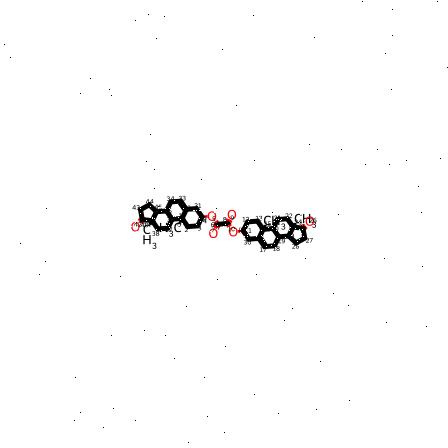 C[C@]12CC[C@H](OC(=O)C(=O)O[C@H]3CC[C@@]4(C)C(=CCC5C4CC[C@]4(C)C(=O)CCC54)C3)CC1=CCC1C2CC[C@]2(C)C(=O)CCC12